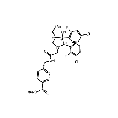 COC(=O)c1ccc(CNC(=O)CN2C[C@@H](CC(C)(C)C)[C@](C#N)(c3ccc(Cl)cc3F)[C@H]2c2cccc(Cl)c2F)cc1